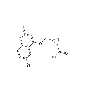 O=C(O)C1CC1COc1cc(=O)oc2ccc(Cl)cc12